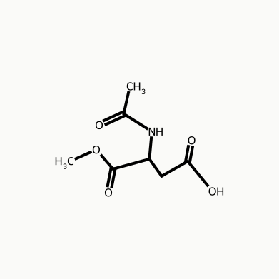 COC(=O)C(CC(=O)O)NC(C)=O